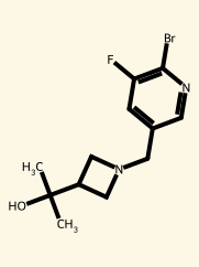 CC(C)(O)C1CN(Cc2cnc(Br)c(F)c2)C1